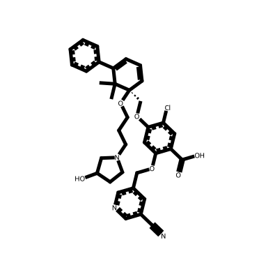 CC1(C)C(c2ccccc2)=CC=C[C@@]1(COc1cc(OCc2cncc(C#N)c2)c(C(=O)O)cc1Cl)OCCCN1CCC(O)C1